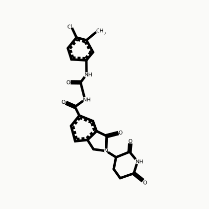 Cc1cc(NC(=O)NC(=O)c2ccc3c(c2)C(=O)N(C2CCC(=O)NC2=O)C3)ccc1Cl